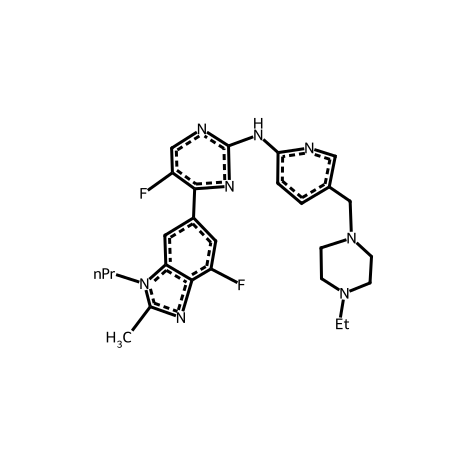 CCCn1c(C)nc2c(F)cc(-c3nc(Nc4ccc(CN5CCN(CC)CC5)cn4)ncc3F)cc21